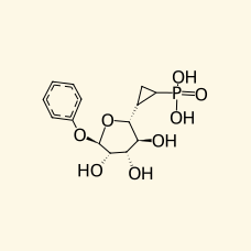 O=P(O)(O)C1CC1[C@H]1O[C@H](Oc2ccccc2)[C@@H](O)[C@@H](O)[C@@H]1O